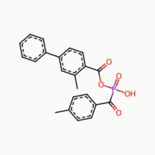 Cc1ccc(C(=O)P(=O)(O)OC(=O)c2ccc(-c3ccccc3)cc2C)cc1